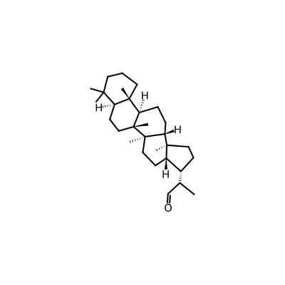 CC(C=O)[C@H]1CC[C@]2(C)[C@H]3CC[C@@H]4[C@@]5(C)CCCC(C)(C)[C@@H]5CC[C@@]4(C)[C@]3(C)CC[C@@H]12